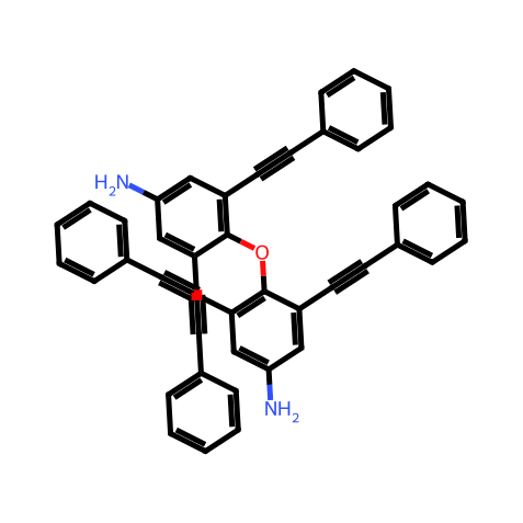 Nc1cc(C#Cc2ccccc2)c(Oc2c(C#Cc3ccccc3)cc(N)cc2C#Cc2ccccc2)c(C#Cc2ccccc2)c1